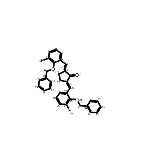 O=C1/C(=C/c2cccc(F)c2OCc2ccccc2)CC/C1=C\c1cccc(F)c1OCc1ccccc1